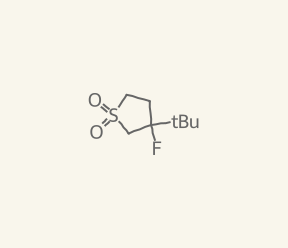 CC(C)(C)C1(F)CCS(=O)(=O)C1